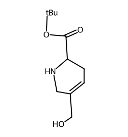 CC(C)(C)OC(=O)C1CC=C(CO)CN1